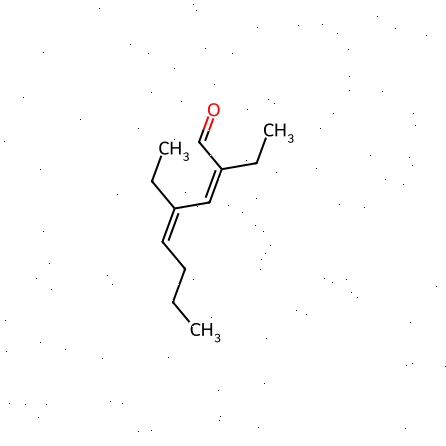 CCCC=C(C=C(C=O)CC)CC